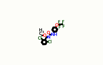 CCOC(=NC(=O)Nc1ccc(OC(F)(F)C(F)F)cc1)c1c(Cl)cccc1Cl